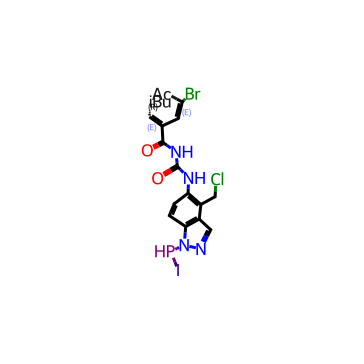 CC[C@@H](C)/C=C(\C=C(\Br)C(C)=O)C(=O)NC(=O)Nc1ccc2c(cnn2PI)c1CCl